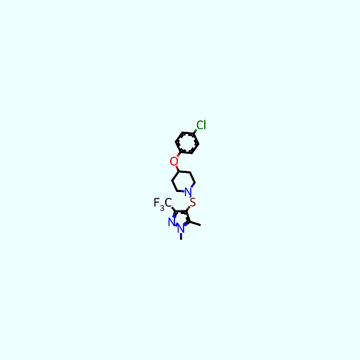 Cc1c(SN2CCC(Oc3ccc(Cl)cc3)CC2)c(C(F)(F)F)nn1C